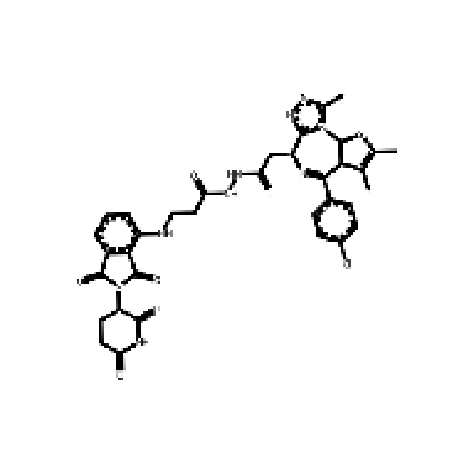 CC1=C(C)C2C(c3ccc(Cl)cc3)=N[C@@H](CC(=O)NNC(=O)CCNc3cccc4c3C(=O)N(C3CCC(=O)NC3=O)C4=O)c3nnc(C)n3C2S1